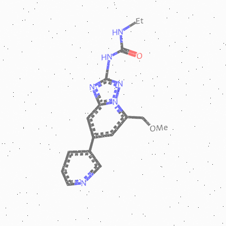 CCNC(=O)Nc1nc2cc(-c3cccnc3)cc(COC)n2n1